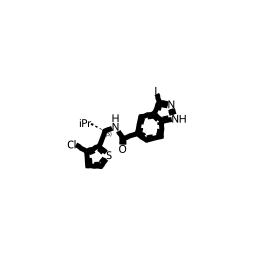 CC(C)[C@H](NC(=O)c1ccc2[nH]nc(I)c2c1)c1sccc1Cl